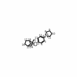 CC1(Oc2ccc(N3CCCC3)cc2)CC2CCC1C2